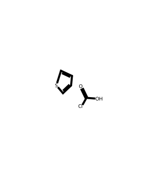 O=C(O)Cl.c1ccsc1